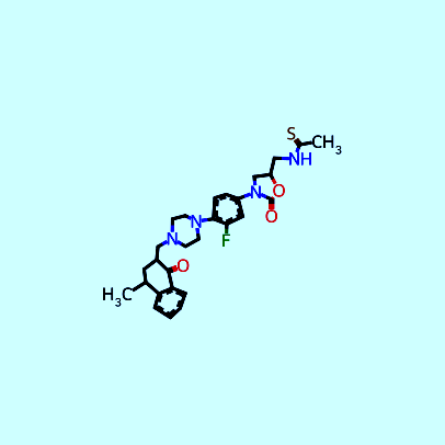 CC(=S)NCC1CN(c2ccc(N3CCN(CC4CC(C)c5ccccc5C4=O)CC3)c(F)c2)C(=O)O1